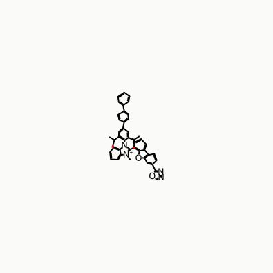 Cc1ccc2c(oc3cc(-c4nnco4)ccc32)c1-c1n(-c2c(C(C)C)cc(-c3ccc(-c4ccccc4)cc3)cc2C(C)C)c2ccccc2[n+]1C